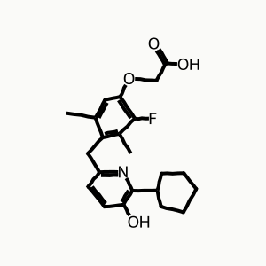 Cc1cc(OCC(=O)O)c(F)c(C)c1Cc1ccc(O)c(C2CCCCC2)n1